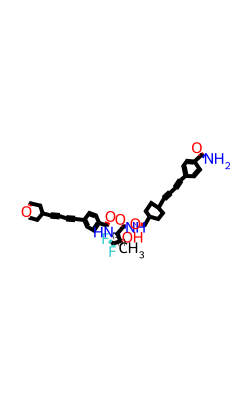 C[C@@](O)(C(F)F)[C@H](NC(=O)c1ccc(C#CC#CC2CCOCC2)cc1)C(=O)NOCC1CCC(C#CC#Cc2ccc(C(N)=O)cc2)CC1